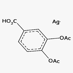 CC(=O)Oc1ccc(C(=O)O)cc1OC(C)=O.[Ag]